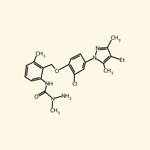 CCc1c(C)nn(-c2ccc(OCc3c(C)cccc3NC(=O)N(C)N)c(Cl)c2)c1C